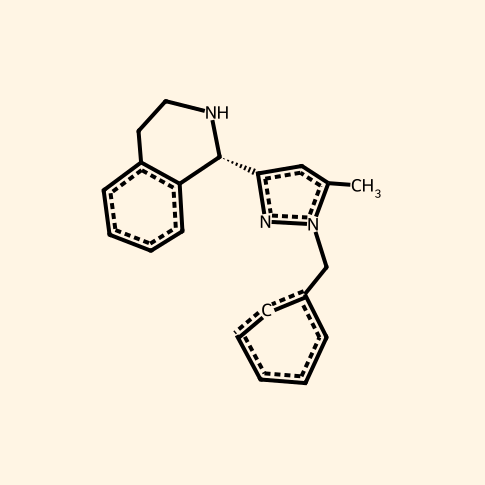 Cc1cc([C@H]2NCCc3ccccc32)nn1Cc1ccccc1